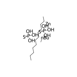 CCCCC.CCCCCCCCCCCC.OP(O)(O)=S.OP(O)(O)=S.[Zn]